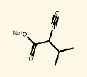 [C-]#[N+]C(C(=O)[O-])C(C)C.[Na+]